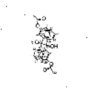 CC(=O)Oc1cccc(C(O)(c2ccccc2)C(O)(c2ccccc2)c2cccc(OC(C)=O)c2)c1